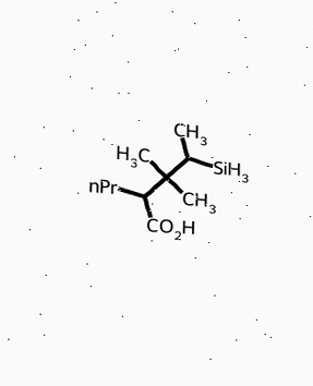 CCCC(C(=O)O)C(C)(C)C(C)[SiH3]